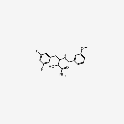 COc1cccc(CNC(Cc2cc(F)cc(F)c2)C(O)C(N)=O)c1